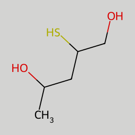 CC(O)CC(S)CO